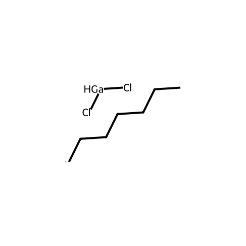 [CH2]CCCCCC.[Cl][GaH][Cl]